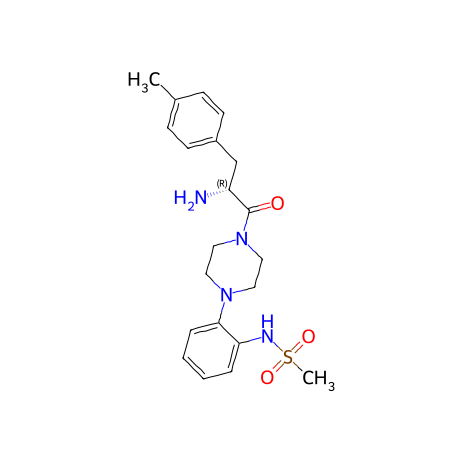 Cc1ccc(C[C@@H](N)C(=O)N2CCN(c3ccccc3NS(C)(=O)=O)CC2)cc1